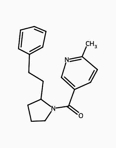 Cc1ccc(C(=O)N2CCCC2CCc2ccccc2)cn1